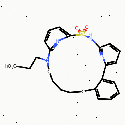 O=C(O)CCN1CCCCCc2ccccc2-c2cccc(n2)NS(=O)(=O)c2cccc1n2